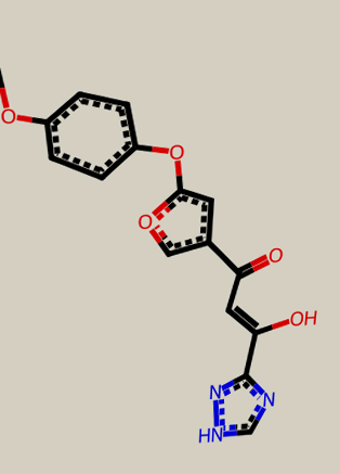 COc1ccc(Oc2cc(C(=O)C=C(O)c3nc[nH]n3)co2)cc1